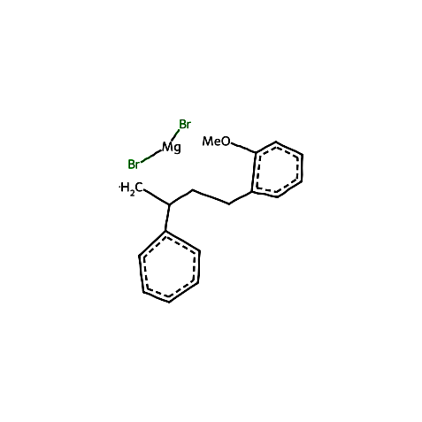 [Br][Mg][Br].[CH2]C(CCc1ccccc1OC)c1ccccc1